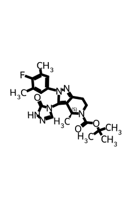 Cc1cc(-n2nc3c(c2-n2cn[nH]c2=O)[C@H](C)N(C(=O)OC(C)(C)C)CC3)cc(C)c1F